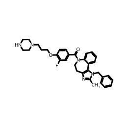 Cc1nc2c(n1Cc1ccccc1)-c1ccccc1N(C(=O)c1ccc(OCCCN3CCNCC3)c(F)c1)CC2